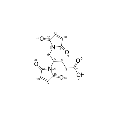 O=C(O)CCC(CN1C(=O)C=CC1=O)N1C(=O)C=CC1=O